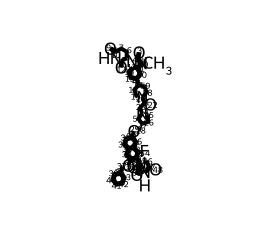 Cn1c(=O)n(C2CCC(=O)NC2=O)c2ccc(C3CCN(C(=O)CN4CC[C@@H](COc5ccc6cc(OCc7ccccc7)c(N7CC(=O)NS7(=O)=O)c(F)c6c5)C4)CC3)cc21